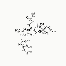 CC(=O)N[C@@H](Cc1c[nH]c2ccccc12)C(=O)N[C@@H](CCC(=O)C=N)C(=O)NC(C)(C)c1ccc(F)cc1